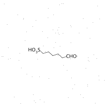 O=[C]CCCCCS(=O)(=O)O